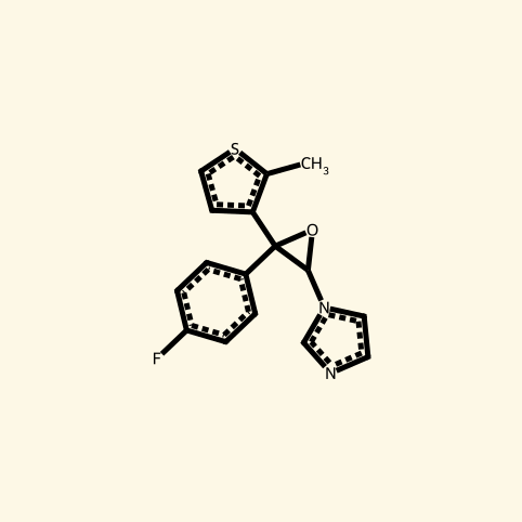 Cc1sccc1C1(c2ccc(F)cc2)OC1n1ccnc1